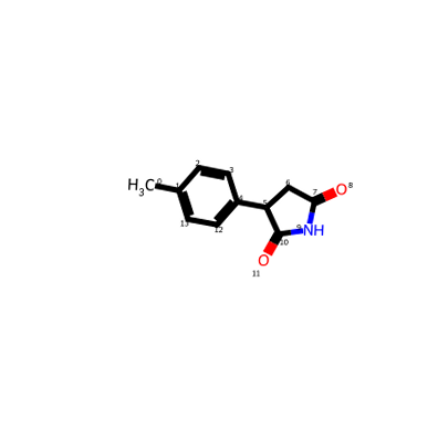 Cc1ccc(C2CC(=O)NC2=O)cc1